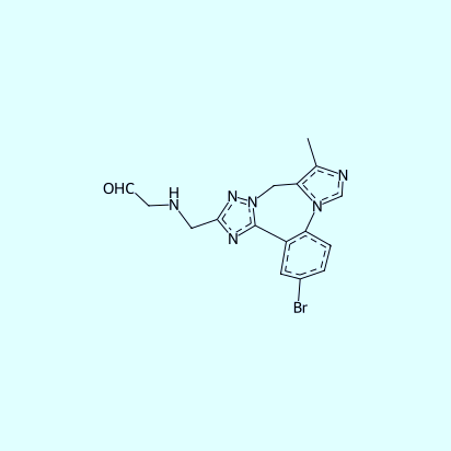 Cc1ncn2c1Cn1nc(CNCC=O)nc1-c1cc(Br)ccc1-2